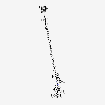 C=C1CC[C@@H](NC(=O)CCOCCOCCOCCOCCOCCOCCOCCOCCOCCOCCOCCOCCNC(=O)CCCC[C@@H]2SC[C@@H]3NC(=O)N[C@@H]32)C/C1=C/C=C1\CCC[C@@]2(C)C1CC[C@@H]2C(C)CCCC(C)(C)O